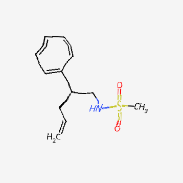 C=CC[C@H](CNS(C)(=O)=O)c1ccccc1